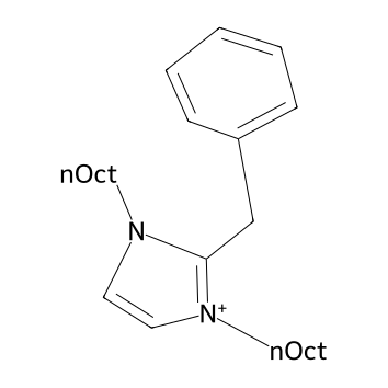 CCCCCCCCn1cc[n+](CCCCCCCC)c1Cc1ccccc1